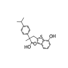 CC(C)c1ccc(C(C)(Cc2cc3cccc(O)c3s2)C(=O)O)cc1